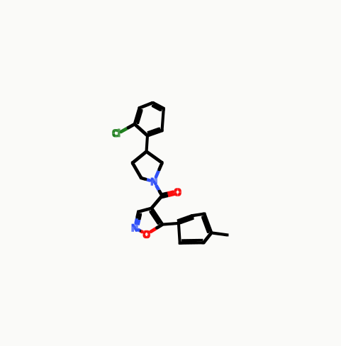 Cc1ccc(-c2oncc2C(=O)N2CCC(c3ccccc3Cl)C2)cc1